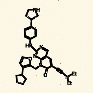 CCN(C#Cc1cc2cnc(Nc3ccc(C4CCNC4)cc3)nc2n(Cc2occc2C2CCCC2)c1=O)CC